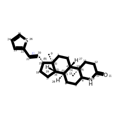 C[C@]12CC[C@H]3[C@@H](CCC4NC(=O)CC[C@@]43C)[C@@H]1CC[C@@H]2/C=C/c1cccs1